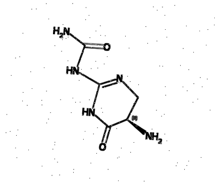 NC(=O)NC1=NC[C@@H](N)C(=O)N1